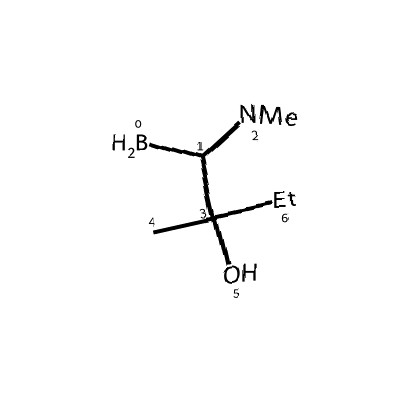 BC(NC)C(C)(O)CC